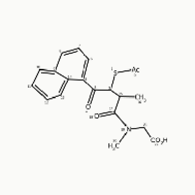 CC(=O)SC(C(=O)c1cccc2ccccc12)C(C)C(=O)N(C)CC(=O)O